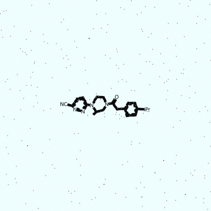 CC(C)c1ccc(CC(=O)N2CCN(c3ccc(C#N)nn3)C(C)C2)cc1